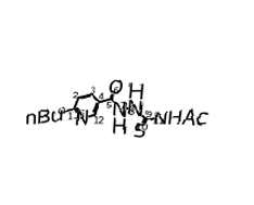 CCCCc1ccc(C(=O)NNC(=S)NC(C)=O)cn1